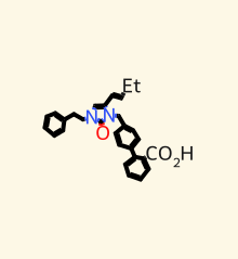 CCC=Cc1cn(CCc2ccccc2)c(=O)n1Cc1ccc(-c2ccccc2C(=O)O)cc1